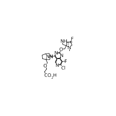 CN1C[C@H](F)CC1(CN)COc1nc(N2CC3CCC(COCCC(=O)O)(C2)N3)c2cnc(Cl)c(F)c2n1